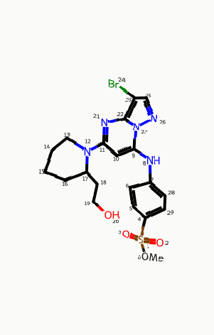 COS(=O)(=O)c1ccc(Nc2cc(N3CCCCC3CCO)nc3c(Br)cnn23)cc1